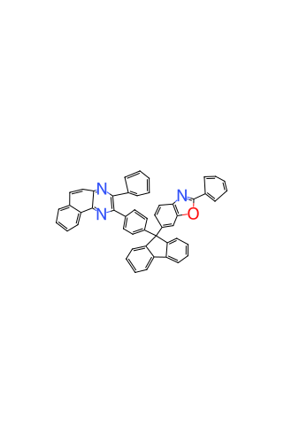 c1ccc(-c2nc3ccc(C4(c5ccc(-c6nc7c(ccc8ccccc87)nc6-c6ccccc6)cc5)c5ccccc5-c5ccccc54)cc3o2)cc1